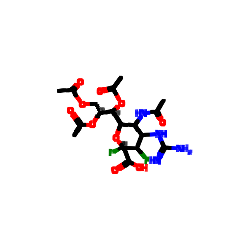 CC(=O)NC1C(NC(=N)N)C(F)[C@](F)(C(=O)O)OC1[C@H](OC(C)=O)[C@@H](COC(C)=O)OC(C)=O